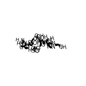 Nc1nc2c(ccn2C2OC3COP(=O)(O)OC4C(COP(=O)(S)OC2C3O)OC(n2cnc3c(NCCO)ncnc32)C4O)c(=O)[nH]1